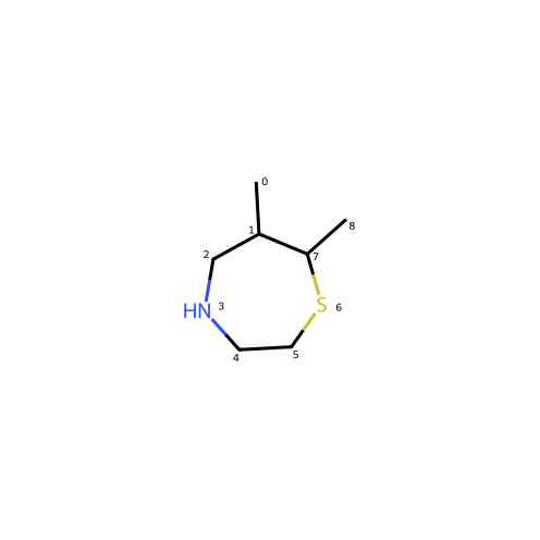 CC1CNCCSC1C